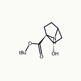 CC(C)(C)OC(=O)[C@]12CCC(C[C@@H]1O)N2